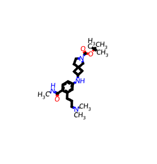 CNC(=O)c1ccc(NC2CC3(CCN(C(=O)OC(C)(C)C)C3)C2)cc1CCCN(C)C